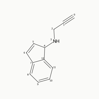 C#CCNC1C=Cc2ccccc21